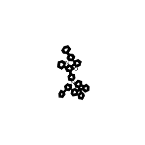 c1ccc(-c2ccc(N(c3ccc(-c4cc5c6ccccc6n(-c6cccc(-c7ccccc7)c6)c5c5c4oc4ccccc45)cc3)c3ccc4c(c3)C(c3ccccc3)(c3ccccc3)c3ccccc3-4)cc2)cc1